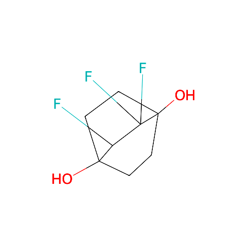 OC12CCC(O)(CC1)C(F)(F)C2F